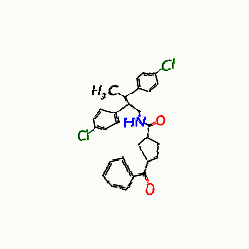 CC(c1ccc(Cl)cc1)C(CNC(=O)C1CCC(C(=O)c2ccccc2)C1)c1ccc(Cl)cc1